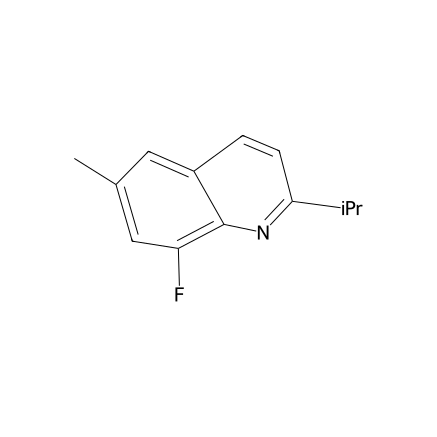 Cc1cc(F)c2nc(C(C)C)ccc2c1